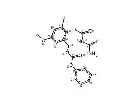 CC(=O)NC(N)=S.COc1cc(C)nc(COC(=O)Oc2ccccc2)n1